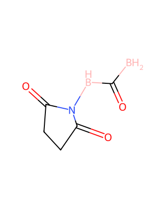 BC(=O)BN1C(=O)CCC1=O